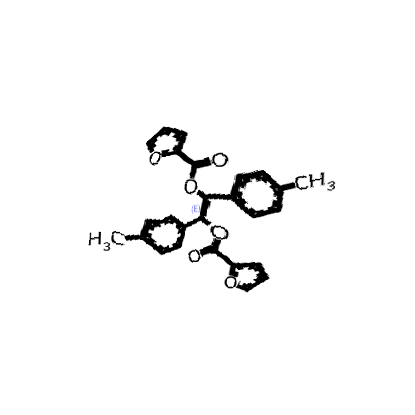 Cc1ccc(/C(OC(=O)c2ccco2)=C(\OC(=O)c2ccco2)c2ccc(C)cc2)cc1